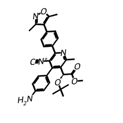 [C-]#[N+]c1c(-c2ccc(-c3c(C)noc3C)cc2)nc(C)c([C@H](OC(C)(C)C)C(=O)OC)c1-c1ccc(N)cc1